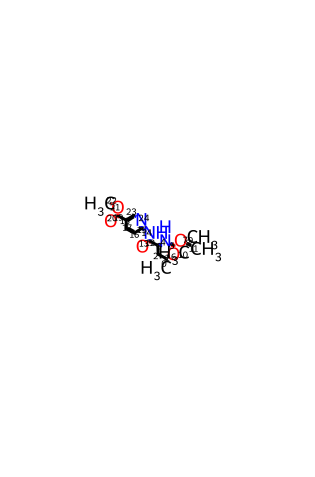 CCCC(NC(=O)OC(C)(C)C)C(=O)Nc1ccc(C(=O)OC)cn1